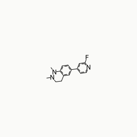 CN1CCc2cc(-c3ccnc(F)c3)ccc2N1C